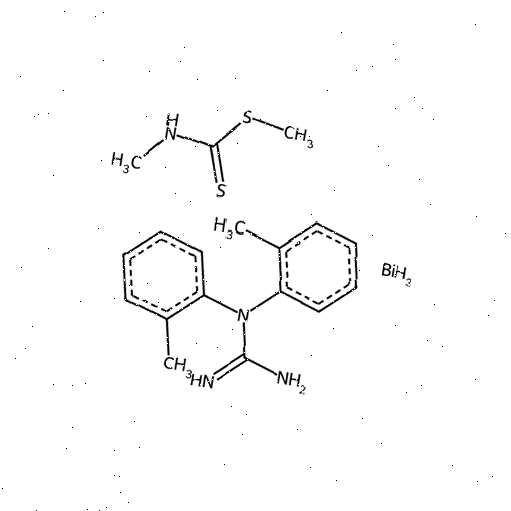 CNC(=S)SC.Cc1ccccc1N(C(=N)N)c1ccccc1C.[BiH3]